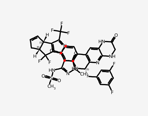 Cn1nc(NS(C)(=O)=O)c2c(Cl)ccc(-c3cc4c(nc3[C@H](Cc3cc(F)cc(F)c3)NC(=O)Cn3nc(C(F)(F)F)c5c3C(F)(F)[C@@H]3CC=C[C@H]53)NCC(=O)N4)c21